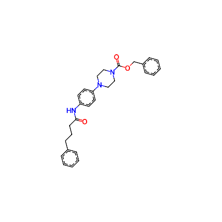 O=C(CCCc1ccccc1)Nc1ccc(N2CCN(C(=O)OCc3ccccc3)CC2)cc1